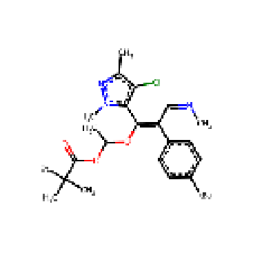 CCC(C)(C)C(=O)OC(C)O/C(=C(/C=N\C)c1ccc(C(C)(C)C)cc1)c1c(Cl)c(C)nn1C